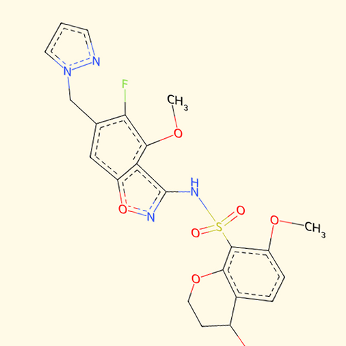 COc1ccc2c(c1S(=O)(=O)Nc1noc3cc(Cn4cccn4)c(F)c(OC)c13)OCCC2O